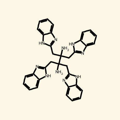 NC(Cc1nc2ccccc2[nH]1)(Cc1nc2ccccc2[nH]1)C(N)(Cc1nc2ccccc2[nH]1)Cc1nc2ccccc2[nH]1